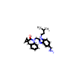 CC(C)CCn1c(CN2C(=O)C3(CC3)Cc3ccccc32)nc2cc(CN)ccc21